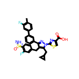 Cc1ccc(-c2cccc(-c3nn(-c4nc(C(=O)O)cs4)c(CC4CC4)c3Cc3ccc([S+](N)[O-])c(F)c3)c2)cc1F